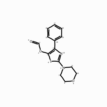 O=COc1sc(N2CCOCC2)nc1-c1ccccc1